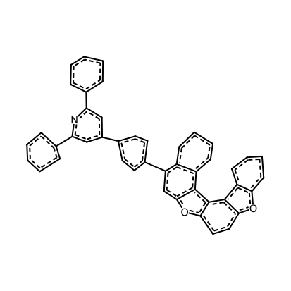 c1ccc(-c2cc(-c3ccc(-c4cc5oc6ccc7oc8ccccc8c7c6c5c5ccccc45)cc3)cc(-c3ccccc3)n2)cc1